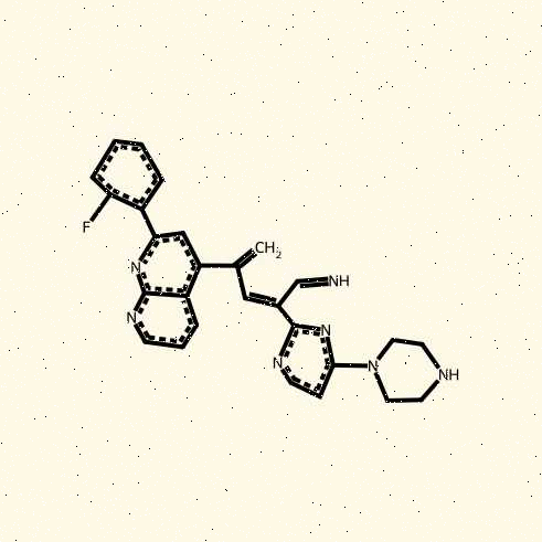 C=C(/C=C(\C=N)c1nccc(N2CCNCC2)n1)c1cc(-c2ccccc2F)nc2ncccc12